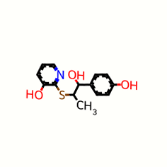 CC(Sc1ncccc1O)C(O)c1ccc(O)cc1